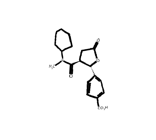 CN(C(=O)[C@H]1CC(=O)O[C@@H]1c1ccc(C(=O)O)cc1)C1CCCCC1